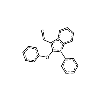 O=Cc1c(Oc2ccccc2)n(-c2ccccc2)c2ccccc12